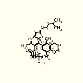 Cc1nc2cc(NCCC(C)C)nn2c(-c2cc(F)c3c(c2C)CCCO3)c1[C@H](OC(C)(C)C)C(=O)O